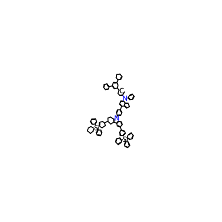 C1=CC(C2=CC(c3ccccc3)=CC(C3CC=C(N(c4ccccc4)c4ccc(-c5ccc(-n6c7c(c8cc(-c9ccc([Si](c%10ccccc%10)(c%10ccccc%10)c%10ccccc%10)cc9)ccc86)CC(C6CC=C([Si](c8ccccc8)(c8ccccc8)C8CCCCC8)CC6)CC7)cc5)c5c4=CCC=5)CC3)C2)CCC1